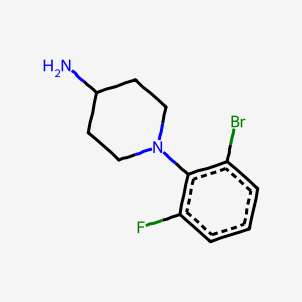 NC1CCN(c2c(F)cccc2Br)CC1